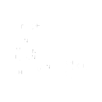 Cc1cccc(C2CCN(C(=O)Cn3nc(C(=O)N4CC[C@H](O)[C@@H](F)C4)c4c3C[C@H]3C[C@@H]43)CC2)c1C